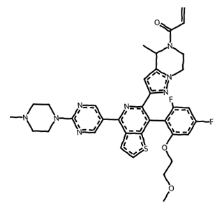 C=CC(=O)N1CCn2nc(-c3nc(-c4cnc(N5CCN(C)CC5)nc4)c4ccsc4c3-c3c(F)cc(F)cc3OCCOC)cc2C1C